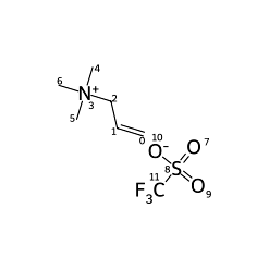 C=CC[N+](C)(C)C.O=S(=O)([O-])C(F)(F)F